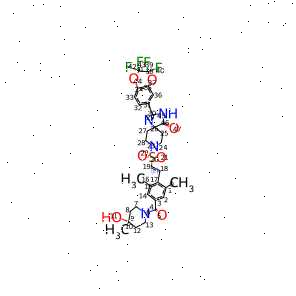 Cc1cc(C(=O)N2CCC(C)(O)CC2)cc(C)c1/C=C/S(=O)(=O)N1CCC2(CC1)N=C(c1ccc3c(c1)OC(F)(F)C(F)(F)O3)NC2=O